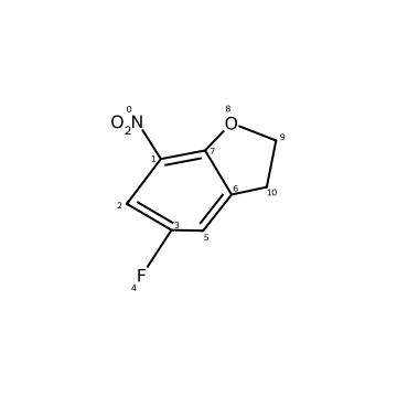 O=[N+]([O-])c1cc(F)cc2c1OCC2